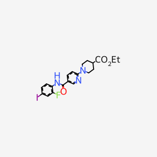 CCOC(=O)C1CCN(c2ccc(C(=O)Nc3ccc(I)cc3F)cn2)CC1